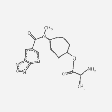 C[C@H](N)C(=O)OC1CCC(N(C)C(=O)c2ccc3nonc3c2)CC1